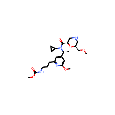 COC[C@@H]1CNC[C@H](C(=O)N(C2CC2)[C@H](C)c2cc(CCCNC(=O)OC)nc(OC)c2)O1